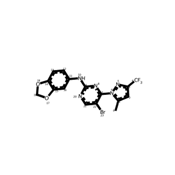 Cc1cc(C(F)(F)F)nn1-c1nc(Nc2ccc3c(c2)OCO3)ncc1Br